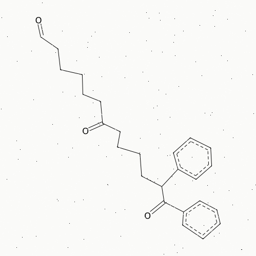 O=CCCCCCC(=O)CCCCC(C(=O)c1ccccc1)c1ccccc1